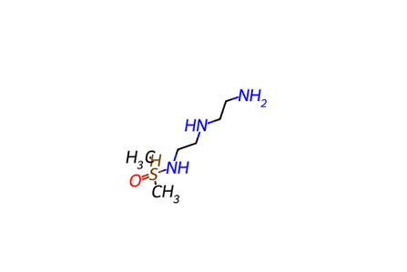 C[SH](C)(=O)NCCNCCN